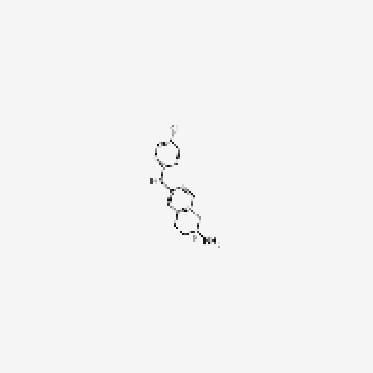 N[C@H]1CCc2cc(Nc3ccc(Cl)cc3)ccc2C1